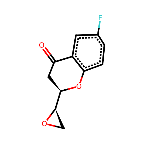 O=C1C[C@H]([C@H]2CO2)Oc2ccc(F)cc21